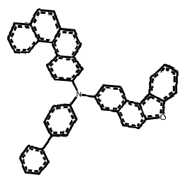 c1ccc(-c2ccc(N(c3ccc4c(ccc5ccc6ccccc6c54)c3)c3ccc4c(ccc5oc6ccccc6c54)c3)cc2)cc1